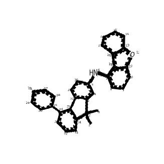 CC1(C)c2cc(Nc3cccc4oc5ccccc5c34)ccc2-c2c(-c3ccccc3)cccc21